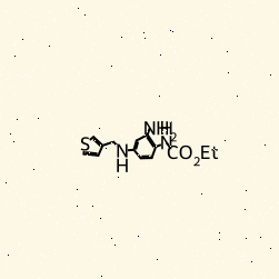 CCOC(=O)Nc1ccc(NCc2ccsc2)cc1N